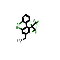 CCc1[c]c(Br)c(-c2ccccc2Cl)c(C(F)(C(F)(F)F)C(F)(F)F)c1